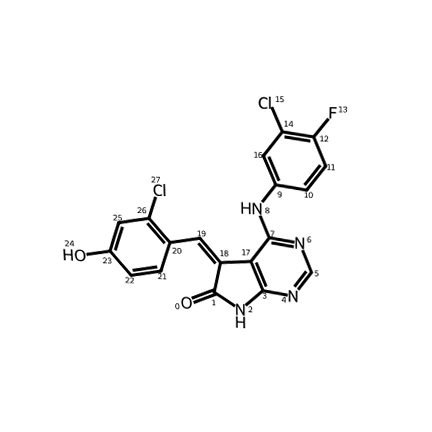 O=C1Nc2ncnc(Nc3ccc(F)c(Cl)c3)c2C1=Cc1ccc(O)cc1Cl